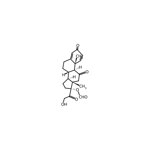 C[C@]12C=CC(=O)C=C1CC[C@@H]1[C@@H]2C(=O)C[C@@]2(C)[C@H]1CC[C@]2(OC=O)C(=O)CO